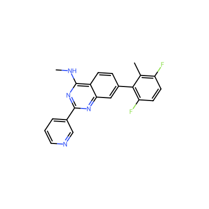 CNc1nc(-c2cccnc2)nc2cc(-c3c(F)ccc(F)c3C)ccc12